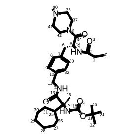 CCC(=O)N[C@H](Cc1ccc(CNC(=O)[C@](C)(NC(=O)OC(C)(C)C)C2CCCCCC2)cc1)C(=O)N1CCN(C)CC1